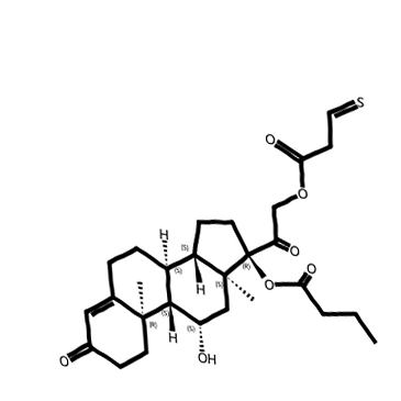 CCCC(=O)O[C@]1(C(=O)COC(=O)CC=S)CC[C@H]2[C@@H]3CCC4=CC(=O)CC[C@]4(C)[C@H]3[C@@H](O)C[C@@]21C